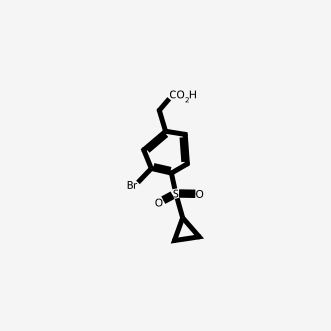 O=C(O)Cc1ccc(S(=O)(=O)C2CC2)c(Br)c1